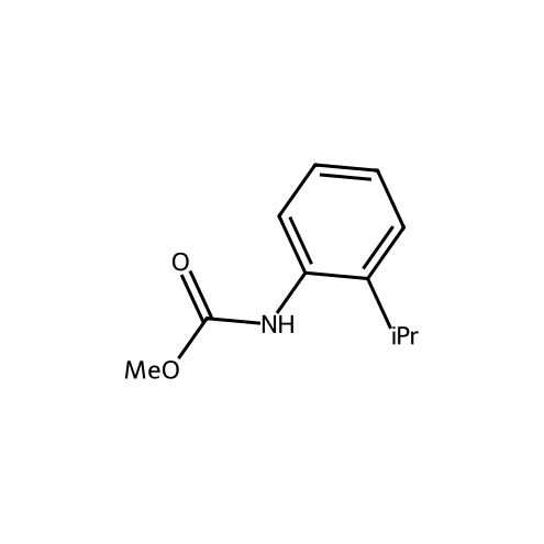 COC(=O)Nc1ccccc1C(C)C